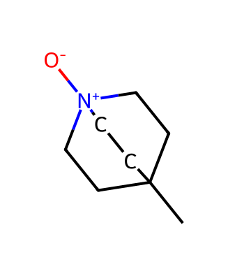 CC12CC[N+]([O-])(CC1)CC2